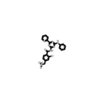 O=C(Nc1nc(Nc2ccccc2)nc(-c2ccccn2)n1)c1ccc(C[SH](=O)=O)cc1Cl